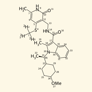 [2H]C([2H])([2H])Sc1cc(C)[nH]c(=O)c1CNC(=O)c1c(C)n([C@H](C)C2CCC(OC)CC2)c2ccccc12